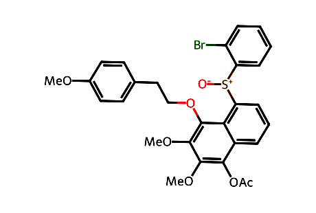 COc1ccc(CCOc2c(OC)c(OC)c(OC(C)=O)c3cccc([S+]([O-])c4ccccc4Br)c23)cc1